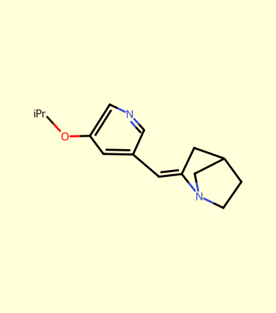 CC(C)Oc1cncc(C=C2CC3CCN2C3)c1